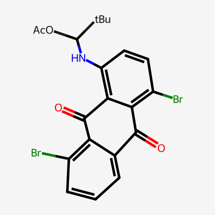 CC(=O)OC(Nc1ccc(Br)c2c1C(=O)c1c(Br)cccc1C2=O)C(C)(C)C